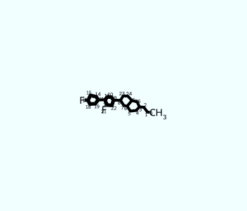 CCCC1CCC2CC(c3ccc(-c4ccc(F)cc4)c(F)c3)CCC2C1